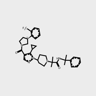 CC(C)(NC(=O)C(C)(C)N1CCC(n2ncc(C(=O)N3CC[C@@H](c4ccccc4C(F)(F)F)C3)c2C2CC2)CC1)c1ccccc1